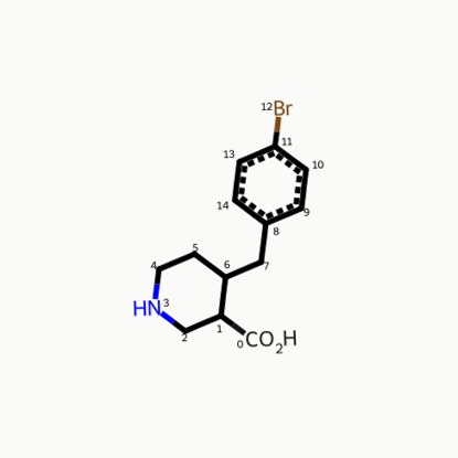 O=C(O)C1CNCCC1Cc1ccc(Br)cc1